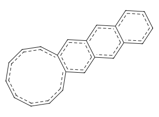 c1ccccc2cc3cc4ccccc4cc3cc2ccc1